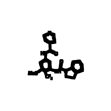 CSc1cc(NC(=O)c2ccncc2)cc(NC(=O)N2CCc3ccccc32)c1C(F)(F)F